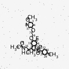 COc1ccc(OCCOc2cc3c([C@@H](C)CNC(C)=O)cn(S(=O)(=O)c4ccc(C)cc4)c3cc2F)cn1